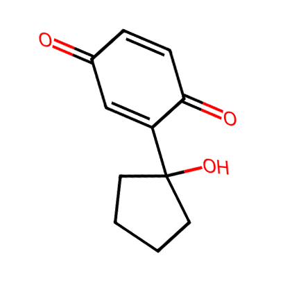 O=C1C=CC(=O)C(C2(O)CCCC2)=C1